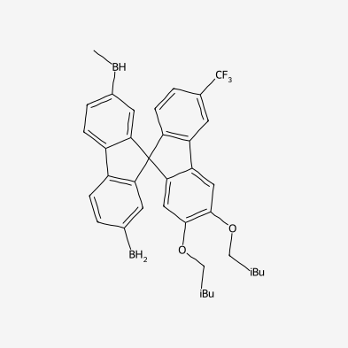 Bc1ccc2c(c1)C1(c3ccc(C(F)(F)F)cc3-c3cc(OCC(C)CC)c(OCC(C)CC)cc31)c1cc(BC)ccc1-2